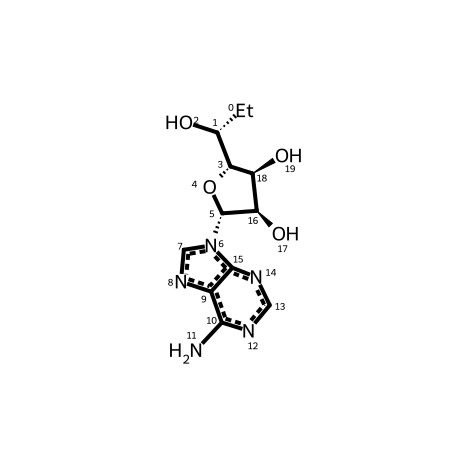 [CH2]C[C@@H](O)[C@H]1O[C@@H](n2cnc3c(N)ncnc32)[C@H](O)[C@@H]1O